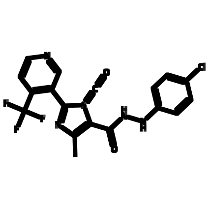 CC1=C(C(=O)NNc2ccc(Cl)cc2)S(=C=O)C(c2cnccc2C(F)(F)F)=N1